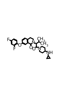 CC(C)C(C(=O)N1CCC(NC2CC2)CC1)N1CCc2ccc(Oc3ccc(F)cc3F)cc2C1=O